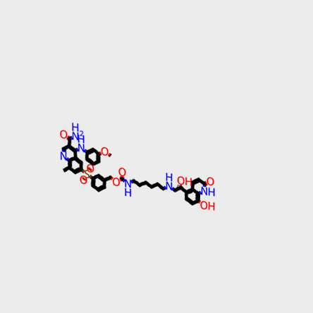 COc1cccc(Nc2c(C(N)=O)cnc3c(C)cc(S(=O)(=O)c4cccc(COC(=O)NCCCCCCNC[C@H](O)c5ccc(O)c6[nH]c(=O)ccc56)c4)cc23)c1